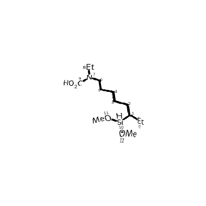 CCC(CCCCCN(CC)C(=O)O)[SiH](OC)OC